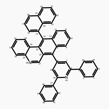 c1ccc(-c2cc(-c3c4ccccc4c(-c4cccc5ccccc45)c4c3cnc3ccccc34)cc(-c3ccccc3)n2)cc1